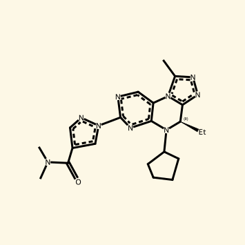 CC[C@@H]1c2nnc(C)n2-c2cnc(-n3cc(C(=O)N(C)C)cn3)nc2N1C1CCCC1